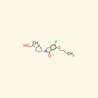 CCCCOc1cc2c(cc1F)CN(C[C@H]1CC[C@H](C(C)CO)CC1)C2=O